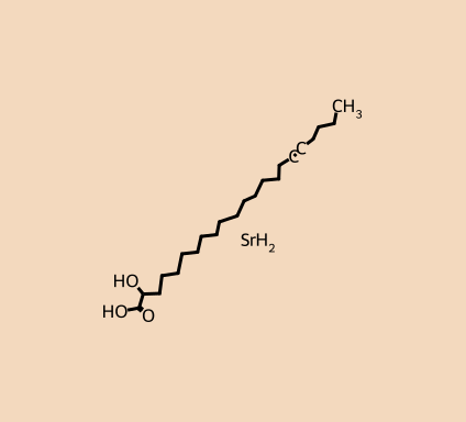 CCCCCCCCCCCCCCCCCCCCC(O)C(=O)O.[SrH2]